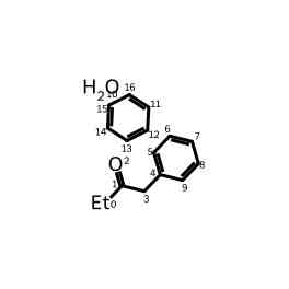 CCC(=O)Cc1ccccc1.O.c1ccccc1